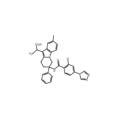 CCOC(=O)C(N)c1c2n(c3ccc(C)cc13)CC(NC(=O)c1ccc(-n3cnnc3)cc1Cl)(c1ccccc1)CC2